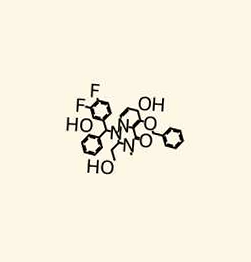 CN1C(=O)C2=C(OCc3ccccc3)C(O)C=CN2N(C(c2ccccc2)c2ccc(F)c(F)c2O)C1CCO